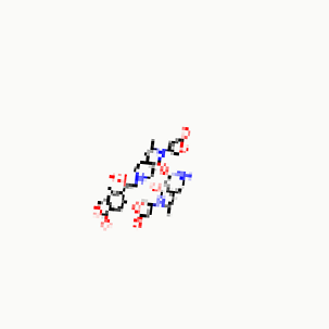 CC1CC2(CCNCC2)C(=O)N1C1=CC(=O)OC1.Cc1c(C(O)CN2CCC3(CC2)CC(C)N(C2=CC(=O)OC2)C3=O)ccc2c1COC2=O